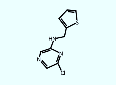 Clc1cncc(NCc2cccs2)n1